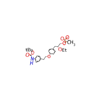 CCOC(COS(C)(=O)=O)Cc1ccc(OCCc2ccc(NC(=O)OC(C)(C)C)cc2)cc1